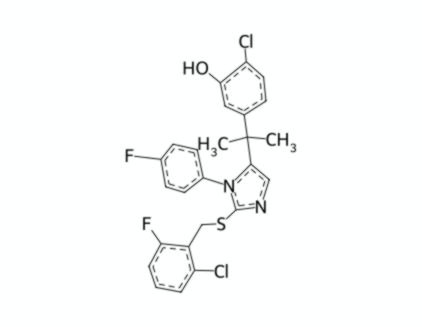 CC(C)(c1ccc(Cl)c(O)c1)c1cnc(SCc2c(F)cccc2Cl)n1-c1ccc(F)cc1